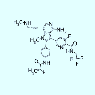 C=C(F)C(=O)Nc1ccc(-c2c(-c3cnc(C(=O)NCC(F)(F)F)c(F)c3)c3c(N)ncc(C#CCNC)c3n2C)cc1